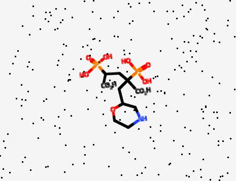 O=C(O)C(CC(CC1CNCCO1)(C(=O)O)P(=O)(O)O)P(=O)(O)O